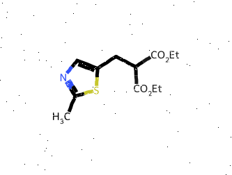 CCOC(=O)C(Cc1cnc(C)s1)C(=O)OCC